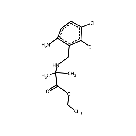 CCOC(=O)C(C)(C)NCc1c(N)ccc(Cl)c1Cl